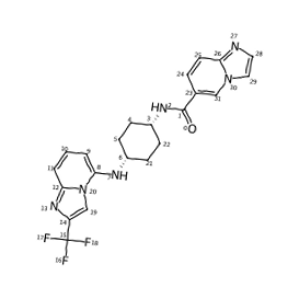 O=C(N[C@H]1CC[C@@H](Nc2cccc3nc(C(F)(F)F)cn23)CC1)c1ccc2nccn2c1